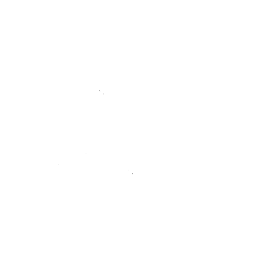 CC1(CC#N)CCN(Cc2ccc3c(c2)CSC3)CC1